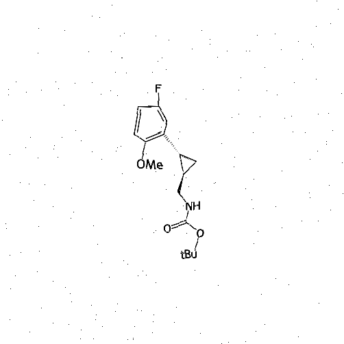 COc1ccc(F)cc1[C@@H]1C[C@H]1CNC(=O)OC(C)(C)C